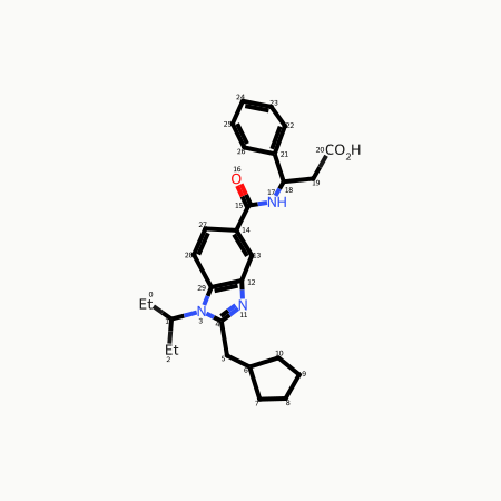 CCC(CC)n1c(CC2CCCC2)nc2cc(C(=O)NC(CC(=O)O)c3ccccc3)ccc21